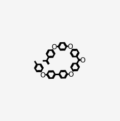 C=C(C)c1ccc(Oc2ccc(Oc3ccc(C(=O)c4ccc(Oc5ccc(-c6ccc(Oc7ccc(C)cc7)cc6)cc5)cc4)cc3)cc2)cc1